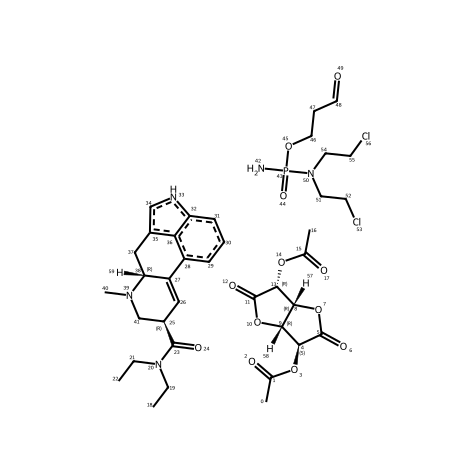 CC(=O)O[C@@H]1C(=O)O[C@@H]2[C@H]1OC(=O)[C@@H]2OC(C)=O.CCN(CC)C(=O)[C@@H]1C=C2c3cccc4[nH]cc(c34)C[C@H]2N(C)C1.NP(=O)(OCCC=O)N(CCCl)CCCl